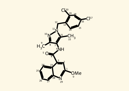 COc1cc(C(=O)Nc2c(C)nn(Cc3ccc(Cl)cc3Cl)c2C)c2ccccc2n1